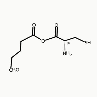 N[C@@H](CS)C(=O)OC(=O)CCCC=O